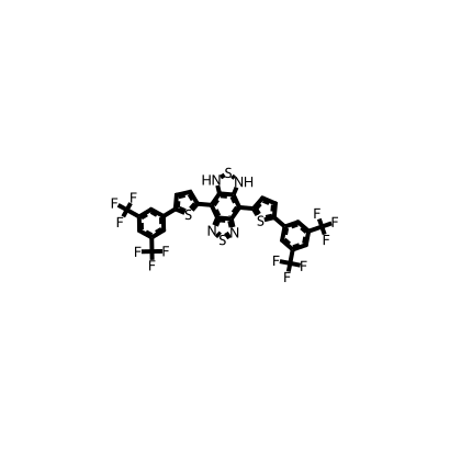 FC(F)(F)c1cc(-c2ccc(-c3c4c(c(-c5ccc(-c6cc(C(F)(F)F)cc(C(F)(F)F)c6)s5)c5nsnc35)NSN4)s2)cc(C(F)(F)F)c1